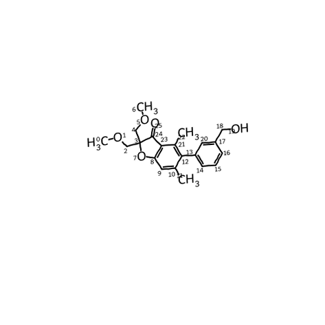 COCC1(COC)Oc2cc(C)c(-c3cccc(CO)c3)c(C)c2C1=O